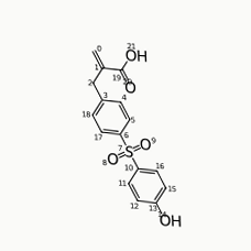 C=C(Cc1ccc(S(=O)(=O)c2ccc(O)cc2)cc1)C(=O)O